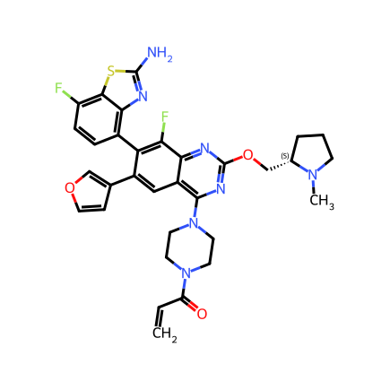 C=CC(=O)N1CCN(c2nc(OC[C@@H]3CCCN3C)nc3c(F)c(-c4ccc(F)c5sc(N)nc45)c(-c4ccoc4)cc23)CC1